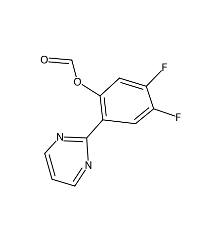 O=COc1cc(F)c(F)cc1-c1ncccn1